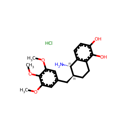 COc1cc(C[C@@H]2CCc3c(ccc(O)c3O)[C@H]2N)cc(OC)c1OC.Cl